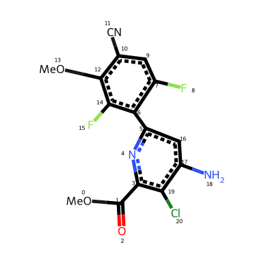 COC(=O)c1nc(-c2c(F)cc(C#N)c(OC)c2F)cc(N)c1Cl